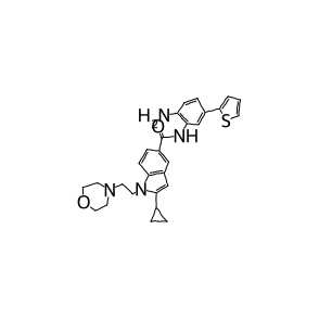 Nc1ccc(-c2cccs2)cc1NC(=O)c1ccc2c(c1)cc(C1CC1)n2CCN1CCOCC1